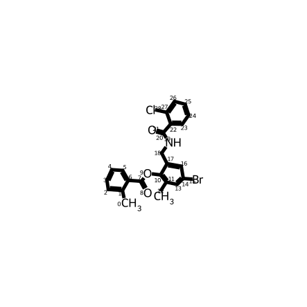 Cc1ccccc1C(=O)Oc1c(C)cc(Br)cc1CNC(=O)c1ccccc1Cl